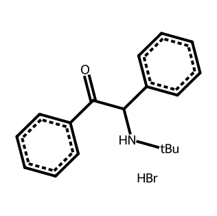 Br.CC(C)(C)NC(C(=O)c1ccccc1)c1ccccc1